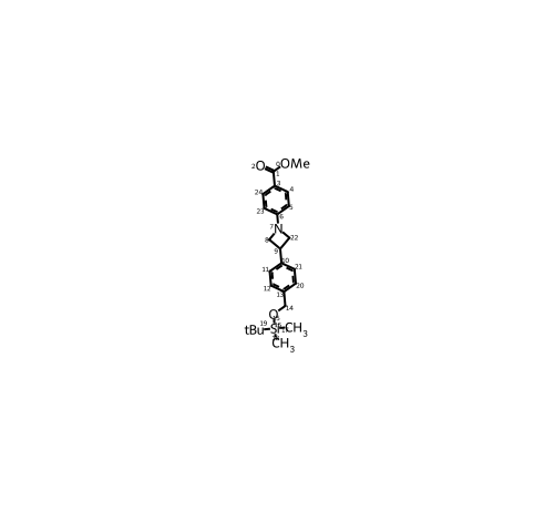 COC(=O)c1ccc(N2CC(c3ccc(CO[Si](C)(C)C(C)(C)C)cc3)C2)cc1